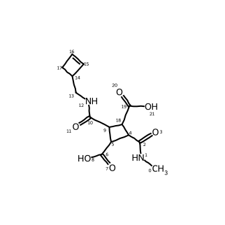 CNC(=O)C1C(C(=O)O)C(C(=O)NCC2C=CC2)C1C(=O)O